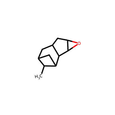 CC1C2CC3CC4OC4C3C1C2